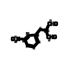 O=CN(C=O)Cc1cccc([N+](=O)[O-])c1